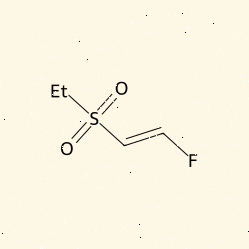 CCS(=O)(=O)C=CF